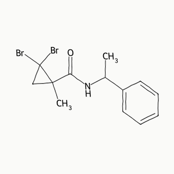 CC(NC(=O)C1(C)CC1(Br)Br)c1ccccc1